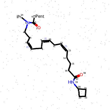 CCCCCC(=O)N(CC/C=C\C/C=C\C/C=C\CCCC(=O)NC1CCC1)C(C)C